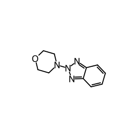 c1ccc2nn(N3CCOCC3)nc2c1